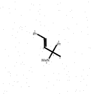 CNC(C)(/C=C/C(C)C)C(C)C